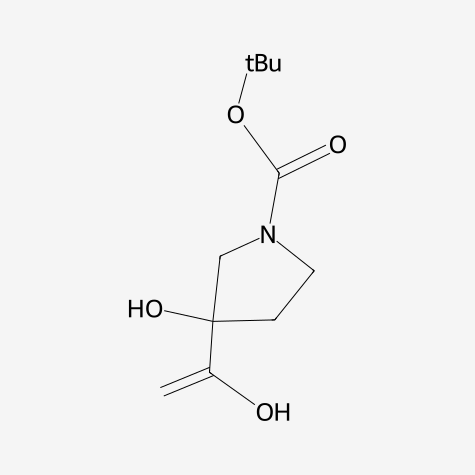 C=C(O)C1(O)CCN(C(=O)OC(C)(C)C)C1